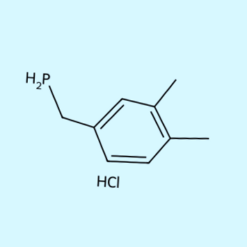 Cc1ccc(CP)cc1C.Cl